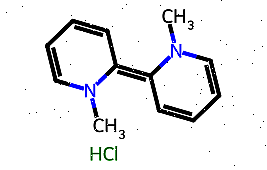 CN1C=CC=CC1=C1C=CC=CN1C.Cl